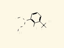 COB(OO[SiH3])c1cccc(C(C)(C)C)c1C